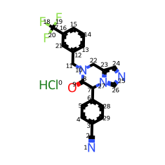 Cl.N#Cc1ccc(C2C(=O)N(Cc3cccc(C(F)(F)F)c3)Cc3cncn32)cc1